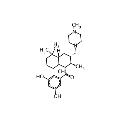 C[C@@H]1[C@@H](CN2CCN(C)CC2)C[C@H]2C(C)(C)CCC[C@]2(C)[C@H]1C(=O)c1cc(O)cc(O)c1